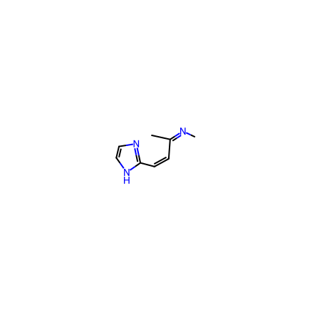 C/N=C(C)\C=C/c1ncc[nH]1